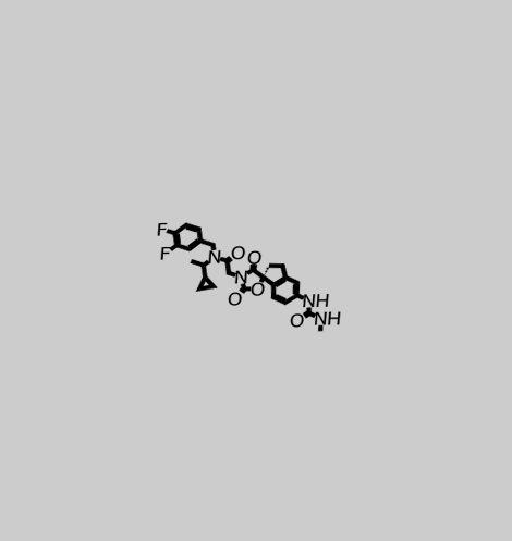 CNC(=O)Nc1ccc2c(c1)CC[C@@]21OC(=O)N(CC(=O)N(Cc2ccc(F)c(F)c2)C(C)C2CC2)C1=O